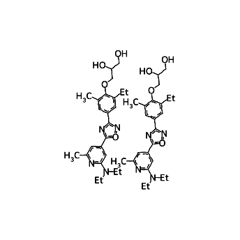 CCc1cc(-c2noc(-c3cc(C)nc(N(CC)CC)c3)n2)cc(C)c1OCC(O)CO.CCc1cc(-c2noc(-c3cc(C)nc(N(CC)CC)c3)n2)cc(C)c1OCC(O)CO